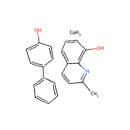 Cc1ccc2cccc(O)c2n1.Oc1ccc(-c2ccccc2)cc1.[GaH3]